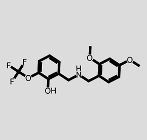 COc1ccc(CNCc2cccc(OC(F)(F)F)c2O)c(OC)c1